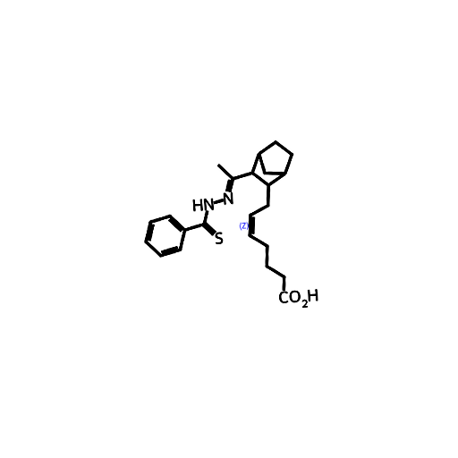 CC(=NNC(=S)c1ccccc1)C1C2CCC(C2)C1C/C=C\CCCC(=O)O